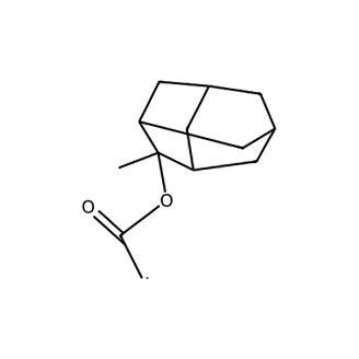 [CH2]C(=O)OC1(C)C2CC3CC(C2)CC1C3